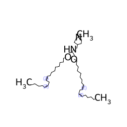 CCCCC/C=C\C/C=C\CCCCCCCCOCC(COCCCCCCCC/C=C\C/C=C\CCCCC)NCC1CCN(C)CC1